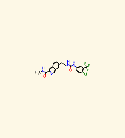 CNC(=O)c1cc2ccc(CCNC(=O)Nc3ccc(Cl)c(C(F)(F)F)c3)cc2cn1